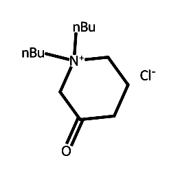 CCCC[N+]1(CCCC)CCCC(=O)C1.[Cl-]